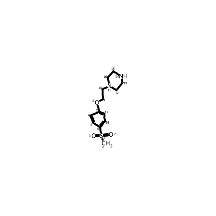 CS(=O)(=O)c1ccc(OCCN2CCNCC2)cc1